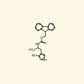 N#Cc1n[nH]cc1CC(NC(=O)OCC1c2ccccc2-c2ccccc21)C(=O)O